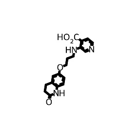 O=C1CCc2cc(OCCCNc3cnccc3C(=O)O)ccc2N1